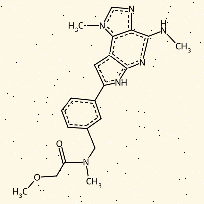 CNc1nc2[nH]c(-c3cccc(CN(C)C(=O)COC)c3)cc2c2c1ncn2C